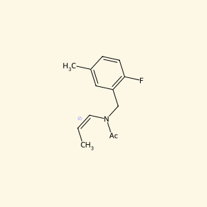 C/C=C\N(Cc1cc(C)ccc1F)C(C)=O